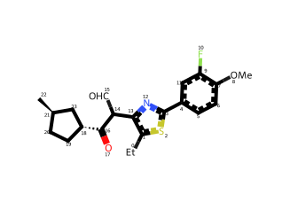 CCc1sc(-c2ccc(OC)c(F)c2)nc1C(C=O)C(=O)[C@@H]1CC[C@@H](C)C1